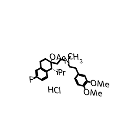 COc1ccc(CCN(C)CC[C@]2(OC(C)=O)CCc3cc(F)ccc3[C@H]2C(C)C)cc1OC.Cl